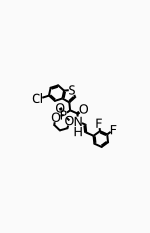 O=C(NC=Cc1cccc(F)c1F)C(c1csc2ccc(Cl)cc12)P1(=O)OCCCO1